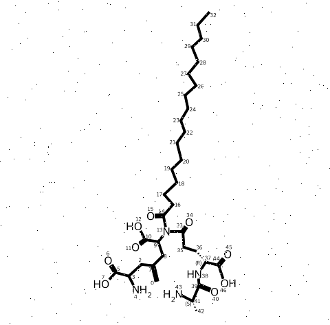 C=C(CC(N)C(=O)O)CC(C(=O)O)N(C(=O)CCCCCCCCCCCCCCCCC)C(=O)CC[C@@H](NC(=O)[C@H](C)N)C(=O)O